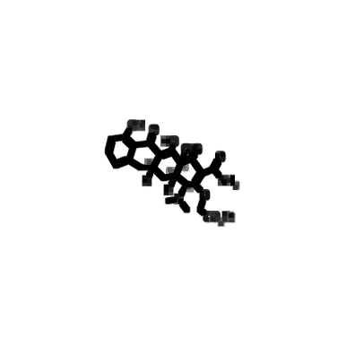 CCOC(=O)COC1=C(C(N)=O)C(=O)[C@@]2(O)C(O)=C3C(=O)c4c(O)cccc4C[C@H]3C[C@H]2[C@@H]1N(C)C